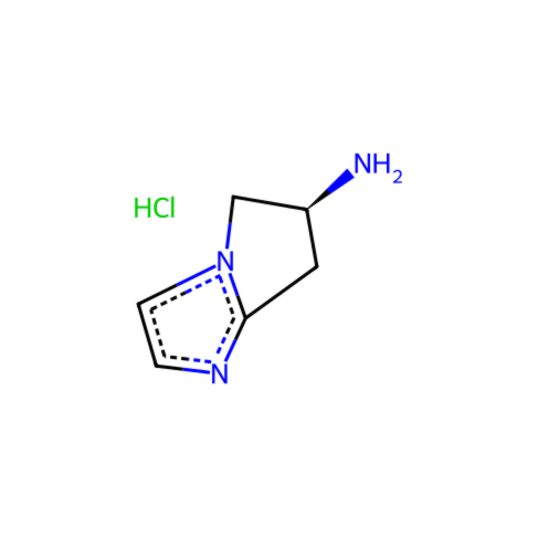 Cl.N[C@H]1Cc2nccn2C1